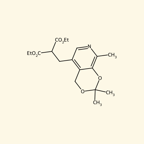 CCOC(=O)C(Cc1cnc(C)c2c1COC(C)(C)O2)C(=O)OCC